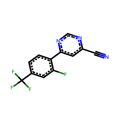 N#Cc1cc(-c2ccc(C(F)(F)F)cc2F)ncn1